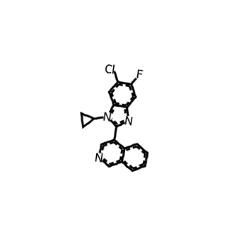 Fc1cc2nc(-c3cncc4ccccc34)n(C3CC3)c2cc1Cl